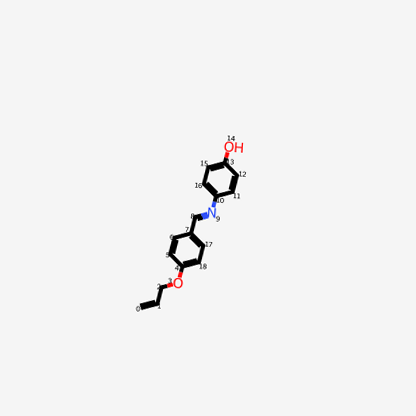 C=CCOc1ccc(C=Nc2ccc(O)cc2)cc1